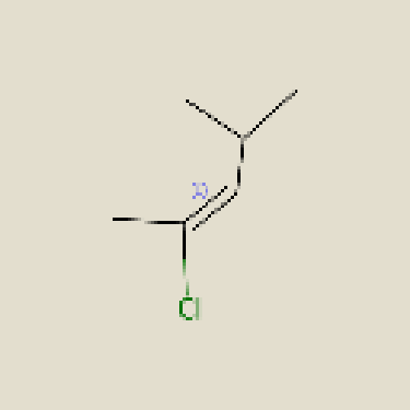 C/C(Cl)=C\C(C)C